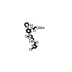 COCC(=O)Nc1cc(N2CC(CNC(=O)c3ccc(Cl)s3)OC2=O)ccc1N1CCCCC1